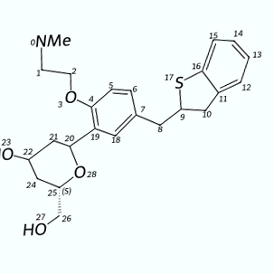 CNCCOc1ccc(CC2Cc3ccccc3S2)cc1C1CC(O)C[C@@H](CO)O1